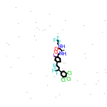 C[C@@H](NC(=O)c1ccc(/C(F)=C/C(c2cc(Cl)c(Cl)c(Cl)c2)C(F)(F)F)cc1I)C(=O)NCC(F)(F)F